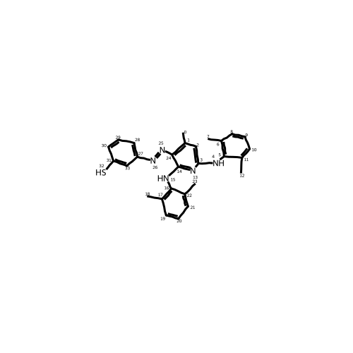 Cc1cc(Nc2c(C)cccc2C)nc(Nc2c(C)cccc2C)c1/N=N/c1cccc(S)c1